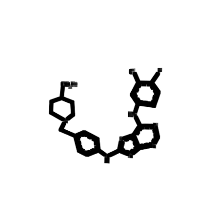 CCOC(=O)C1CCN(Cc2ccc(Nc3nc4ncnc(Nc5ccc(F)c(Cl)c5)c4s3)cc2)CC1